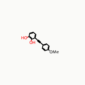 COc1ccc(C#Cc2cccc(O)c2O)cc1